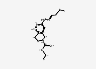 CCCC=NNc1cc2c(nn1)CCN(C(=O)OCC)C2